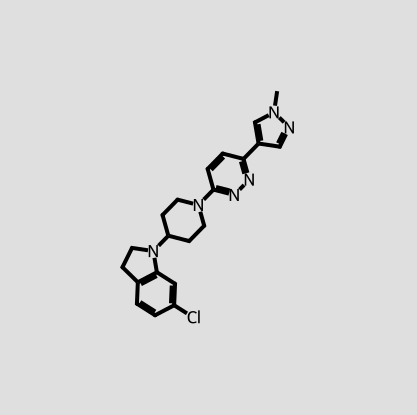 Cn1cc(-c2ccc(N3CCC(N4CCc5ccc(Cl)cc54)CC3)nn2)cn1